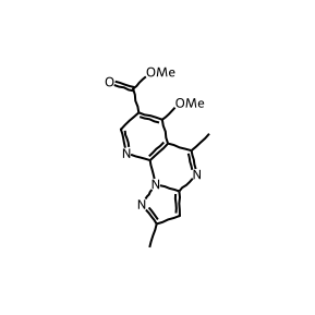 COC(=O)c1cnc2c(c(C)nc3cc(C)nn32)c1OC